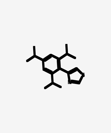 CC(C)c1cc(C(C)C)c(-c2cscn2)c(C(C)C)c1